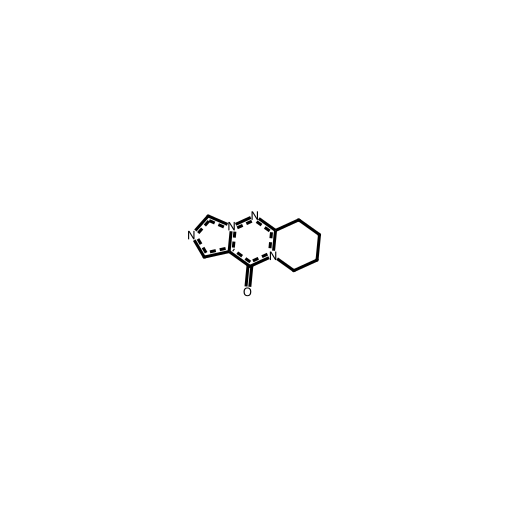 O=c1c2cncn2nc2n1CCCC2